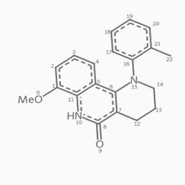 COc1cccc2c3c(c(=O)[nH]c12)CCCN3c1ccccc1C